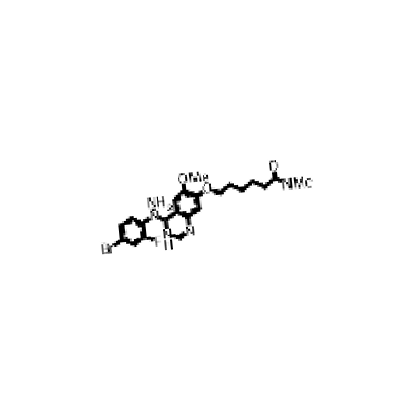 CNC(=O)CCCCCOc1cc2c(cc1OC)C(N(N)c1ccc(Br)cc1F)NC=N2